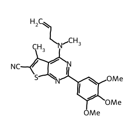 C=CCN(C)c1nc(-c2cc(OC)c(OC)c(OC)c2)nc2sc(C#N)c(C)c12